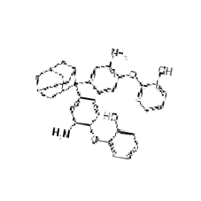 Nc1cc(C2(c3ccc(Oc4ccccc4O)c(N)c3)C3CC4CC(C3)CC2C4)ccc1Oc1ccccc1O